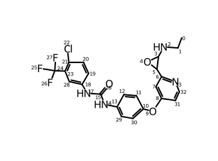 CCNC1OC1c1cc(Oc2ccc(NC(=O)Nc3ccc(Cl)c(C(F)(F)F)c3)cc2)ccn1